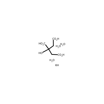 O.O.O.O=C(O)CC(O)(CC(=O)O)C(=O)O.[KH]